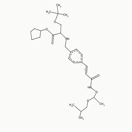 CC(C)COC(C)ONC(=O)/C=C/c1ccc(CNC(COC(C)(C)C)C(=O)OC2CCCC2)cc1